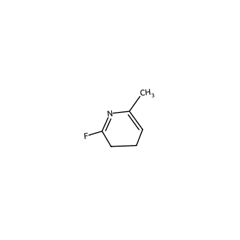 CC1=CCCC(F)=N1